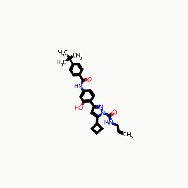 C=CCNC(=O)n1nc(-c2ccc(NC(=O)c3ccc(C(C)(C)C)cc3)cc2O)cc1C1CCC1